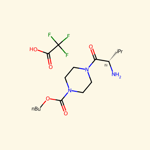 CCCCOC(=O)N1CCN(C(=O)[C@@H](N)C(C)C)CC1.O=C(O)C(F)(F)F